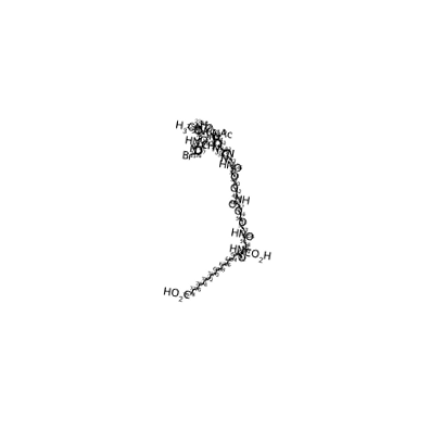 CC(=O)c1nn(CC(=O)N2[C@H](C(=O)Nc3nc(Br)ccc3C)C[C@@]3(C)C[C@@H]23)c2cnc(-c3cnc(CNC(=O)COCCOCCNC(=O)COCCOCCNC(=O)CC[C@H](NC(=O)CCCCCCCCCCCCCCCCC(=O)O)C(=O)O)nc3)cc12